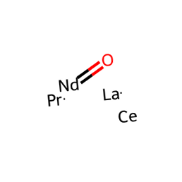 [Ce].[La].[O]=[Nd].[Pr]